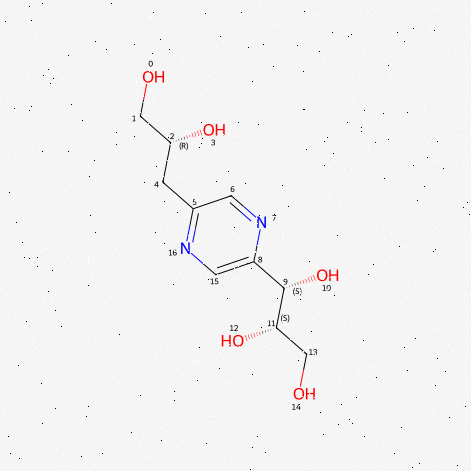 OC[C@H](O)Cc1cnc([C@H](O)[C@@H](O)CO)cn1